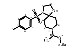 Cc1ccc(S(=O)(=O)N2CCOC23CCN(C(O)OC(C)(C)C)CC3)cc1